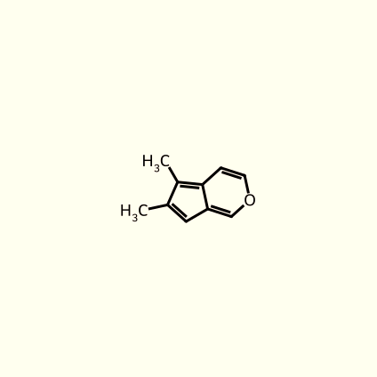 Cc1cc2coccc-2c1C